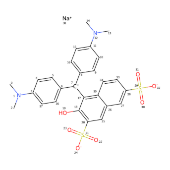 CN(C)c1ccc([C+](c2ccc(N(C)C)cc2)c2c(O)c(S(=O)(=O)[O-])cc3cc(S(=O)(=O)[O-])ccc23)cc1.[Na+]